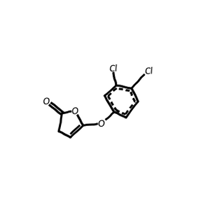 O=C1CC=C(Oc2ccc(Cl)c(Cl)c2)O1